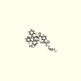 Cl.NCCCC(=O)Nc1cccc(C(=O)N[C@@H](Cc2ccccc2)C(=O)N2CC=CCC2c2cccnc2)c1